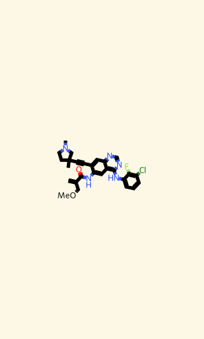 C=C(COC)C(=O)Nc1cc2c(Nc3cccc(Cl)c3F)ncnc2cc1C#CC1(C)CCN(C)C1